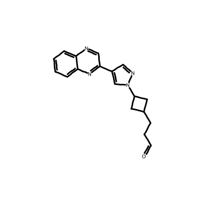 O=CCCC1CC(n2cc(-c3cnc4ccccc4n3)cn2)C1